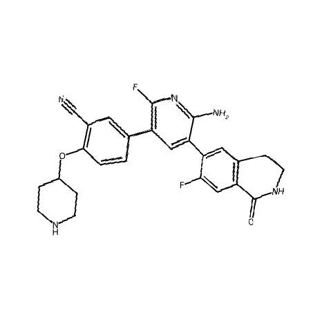 N#Cc1cc(-c2cc(-c3cc4c(cc3F)C(=O)NCC4)c(N)nc2F)ccc1OC1CCNCC1